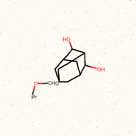 CC(C)OC=O.OC1C2CC3CC(C2)C(O)C1C3